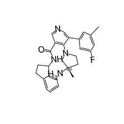 Cc1cc(F)cc(-c2cncc(C(=O)NC3CCc4ccccc43)c2N2CC[C@](C)(N)C2)c1